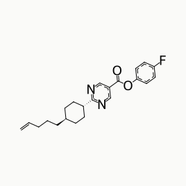 C=CCCC[C@H]1CC[C@H](c2ncc(C(=O)Oc3ccc(F)cc3)cn2)CC1